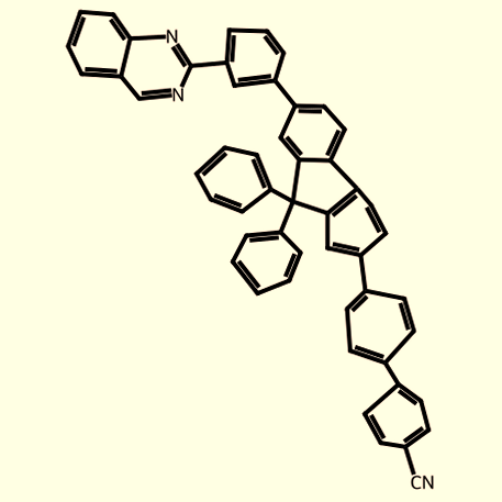 N#Cc1ccc(-c2ccc(-c3ccc4c(c3)C(c3ccccc3)(c3ccccc3)c3cc(-c5cccc(-c6ncc7ccccc7n6)c5)ccc3-4)cc2)cc1